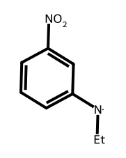 CC[N]c1cccc([N+](=O)[O-])c1